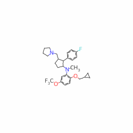 CN(c1cc(OC(F)(F)F)ccc1OCC1CC1)C1CCC(CN2CCCC2)C1c1ccc(F)cc1